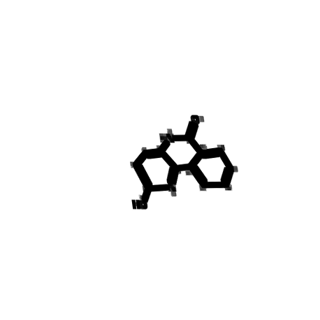 O=c1[nH]c2ccc(O)nc2c2ccccc12